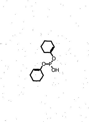 OP(OC1=CCCCC1)OC1=CCCCC1